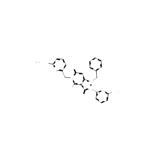 COc1cccc(Cn2c(C)c3c(=O)n(-c4cccc(OC)n4)n(Cc4ccccc4)c3cc2=O)n1